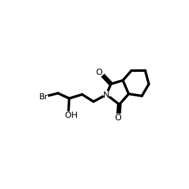 O=C1C2CCCCC2C(=O)N1CCC(O)CBr